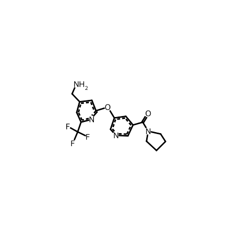 NCc1cc(Oc2cncc(C(=O)N3CCCC3)c2)nc(C(F)(F)F)c1